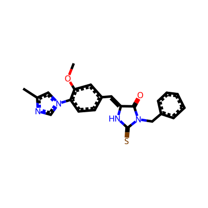 COc1cc(/C=C2\NC(=S)N(Cc3ccccc3)C2=O)ccc1-n1cnc(C)c1